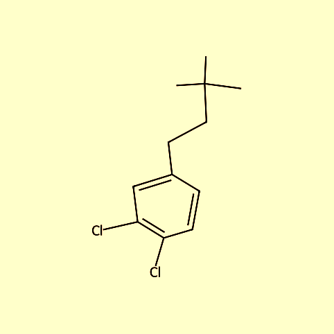 CC(C)(C)CCc1ccc(Cl)c(Cl)c1